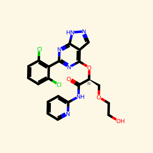 O=C(Nc1ccccn1)[C@H](COCCO)Oc1nc(-c2c(Cl)cccc2Cl)nc2[nH]ncc12